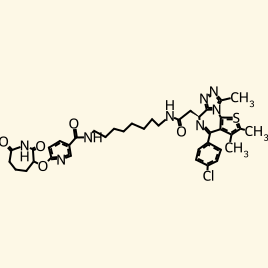 Cc1sc2c(c1C)C(c1ccc(Cl)cc1)=N[C@@H](CC(=O)NCCCCCCCCNC(=O)c1ccc(OC3CCCC(=O)NC3=O)nc1)c1nnc(C)n1-2